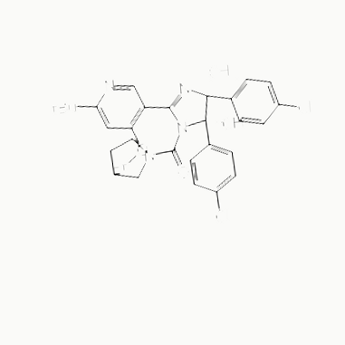 CCOc1cc(C(C)(C)C)ncc1C1=N[C@@](C)(c2ccc(Cl)cc2)[C@@](C)(c2ccc(Cl)cc2)N1C(=O)N1C[CH]CC1